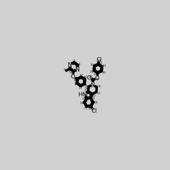 Cc1nccnc1Oc1ccc([C@H]2c3[nH]c4ccc(Cl)cc4c3CCN2C(=O)Oc2ccc(Cl)cc2)cc1